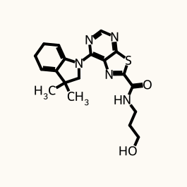 CC1(C)CN(c2ncnc3sc(C(=O)NCCCO)nc23)C2=CCCC=C21